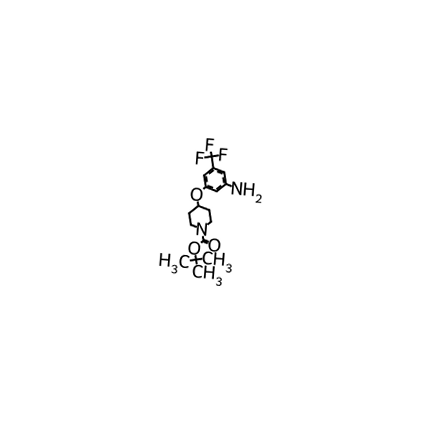 CC(C)(C)OC(=O)N1CCC(Oc2cc(N)cc(C(F)(F)F)c2)CC1